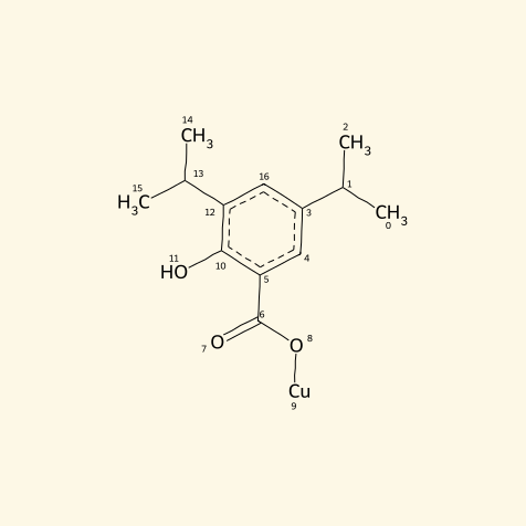 CC(C)c1cc(C(=O)[O][Cu])c(O)c(C(C)C)c1